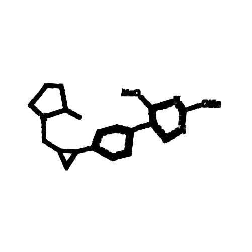 COc1ncc(-c2ccc(C3CC3CN3CCCC3C)cc2)c(OC)n1